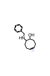 OC1CC/C=C\CCC1NCc1ccccc1